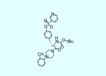 Cc1ccccc1N1CCN(C(=O)[C@H](Cc2ccc(OS(=O)(=O)c3cccnc3)cc2)NC(=O)OC(C)(C)C)CC1